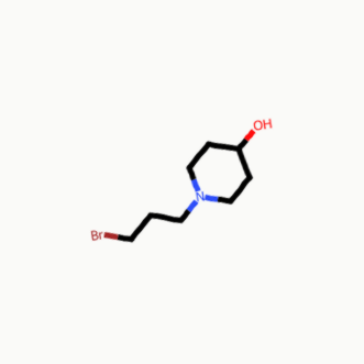 OC1CCN(CCCBr)CC1